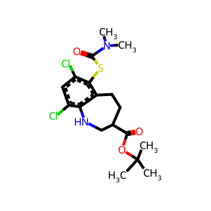 CN(C)C(=O)Sc1c(Cl)cc(Cl)c2c1CCC(C(=O)OC(C)(C)C)CN2